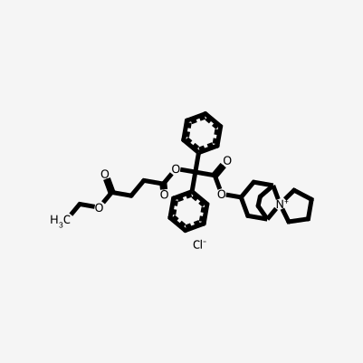 CCOC(=O)CCC(=O)OC(C(=O)OC1CC2CCC(C1)[N+]21CCCC1)(c1ccccc1)c1ccccc1.[Cl-]